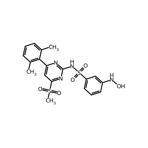 Cc1cccc(C)c1-c1cc(S(C)(=O)=O)nc(NS(=O)(=O)c2cccc(NO)c2)n1